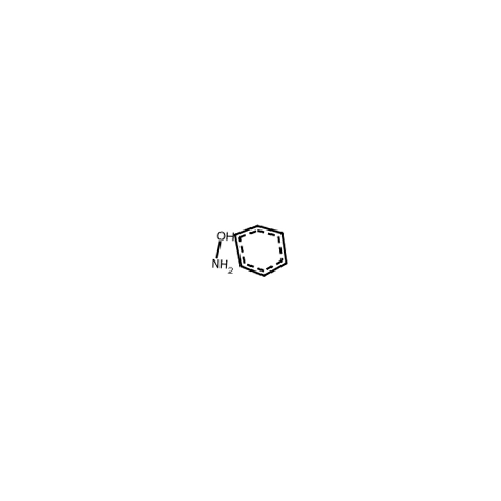 NO.c1ccccc1